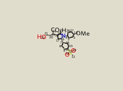 COc1ccc(-n2c(-c3ccc(S(C)(=O)=O)cc3)cc(C(CCO)C(=O)O)c2C)cc1